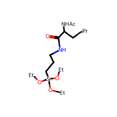 CCO[Si](CCCNC(=O)C(CC(C)C)NC(C)=O)(OCC)OCC